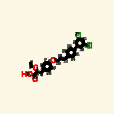 CCO[C@@H](Cc1ccc(OC/C=C/c2ccc(-c3cc(Cl)cc(Cl)c3)cc2)cc1)C(=O)O